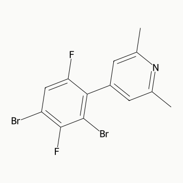 Cc1cc(-c2c(F)cc(Br)c(F)c2Br)cc(C)n1